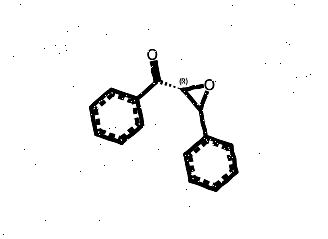 O=C(c1ccccc1)[C@@H]1OC1c1ccccc1